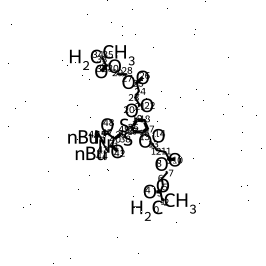 C=C(C)C(=O)OCCOC(=O)CCC(=O)Oc1ccc(OC(=O)CCC(=O)OCCOC(=O)C(=C)C)c2c1SC(=C1C(=O)N(CCCC)N(CCCC)C1=O)S2